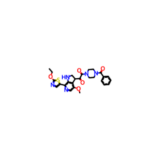 CCOc1ncc(-c2ncc(OC)c3c2NCC3C(=O)C(=O)N2CCN(C(=O)c3ccccc3)CC2)s1